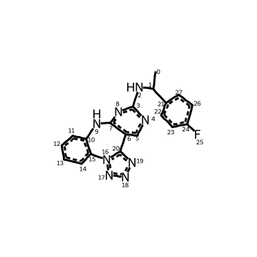 CC(Nc1ncc2c(n1)Nc1ccccc1-n1nnnc1-2)c1ccc(F)cc1